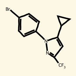 FC(F)(F)c1cc(C2CC2)n(-c2ccc(Br)cc2)n1